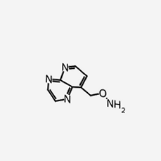 NOCc1ccnc2nccnc12